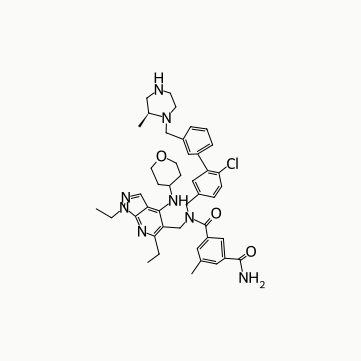 CCc1nc2c(cnn2CC)c(NC2CCOCC2)c1CN(Cc1ccc(Cl)c(-c2cccc(CN3CCNC[C@@H]3C)c2)c1)C(=O)c1cc(C)cc(C(N)=O)c1